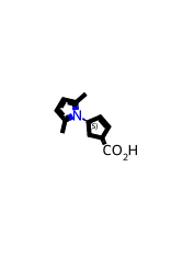 Cc1ccc(C)n1[C@@H]1C=CC(C(=O)O)C1